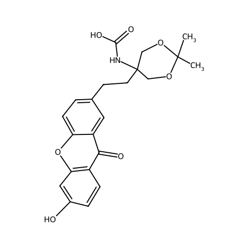 CC1(C)OCC(CCc2ccc3oc4cc(O)ccc4c(=O)c3c2)(NC(=O)O)CO1